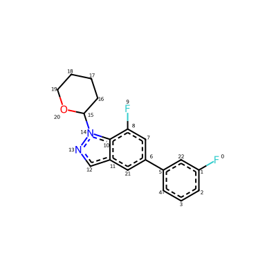 Fc1cc[c]c(-c2cc(F)c3c(cnn3C3CCCCO3)c2)c1